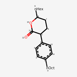 CCCCCCCCc1ccc(C2CCC(CCCCCC)OC2=O)cc1